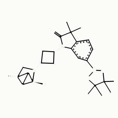 CC1(C)C(=O)N([C@H]2C[C@@H](N3C[C@H]4C5C4[C@H]53)C2)c2cc(B3OC(C)(C)C(C)(C)O3)ccc21